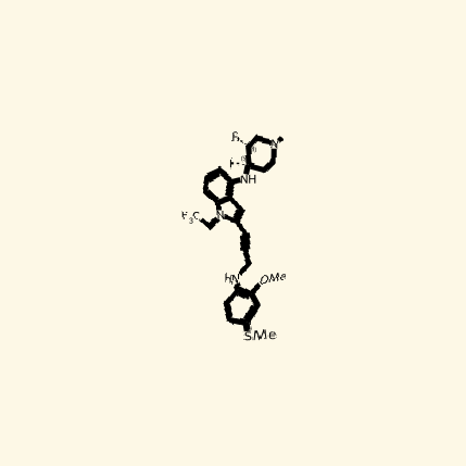 COc1cc(SC)ccc1NCC#Cc1cc2c(N[C@]3(I)CCN(C)C[C@H]3F)cccc2n1CC(F)(F)F